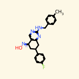 Cc1ccc(CNc2ncc3c(n2)CC(c2ccc(F)cc2)C/C3=N\O)cc1